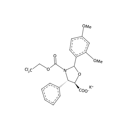 COc1ccc(C2O[C@@H](C(=O)[O-])[C@H](c3ccccc3)N2C(=O)OCC(Cl)(Cl)Cl)c(OC)c1.[K+]